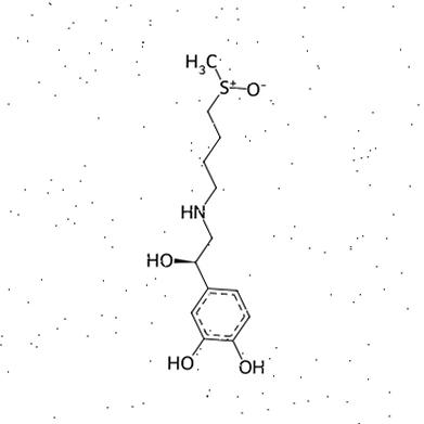 C[S+]([O-])CCCCNC[C@H](O)c1ccc(O)c(O)c1